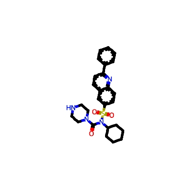 O=C(N1CCNCC1)N(C1CCCCC1)S(=O)(=O)c1ccc2nc(-c3ccccc3)ccc2c1